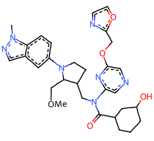 COCC1C(CN(C(=O)C2CCCC(O)C2)c2cncc(OCc3ncco3)n2)CCN1c1ccc2c(cnn2C)c1